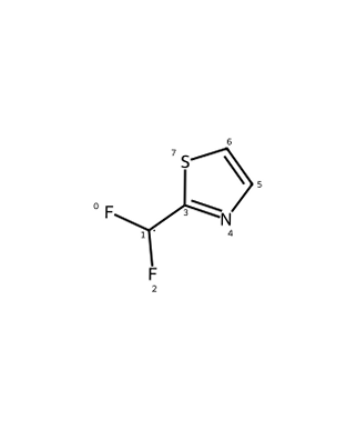 F[C](F)c1nccs1